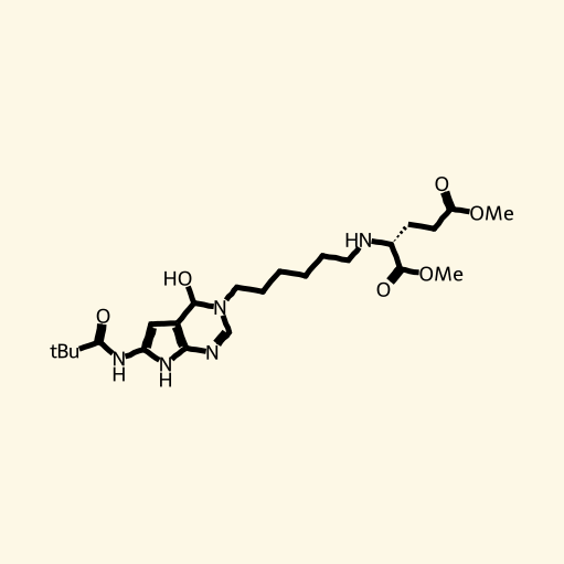 COC(=O)CC[C@@H](NCCCCCCN1C=Nc2[nH]c(NC(=O)C(C)(C)C)cc2C1O)C(=O)OC